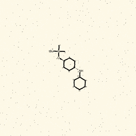 CC(C)(C)[Si](C)(C)O[C@H]1CC[C@H](NC2CCCCC2)CC1